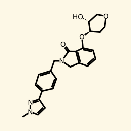 Cn1ccc(-c2ccc(CN3Cc4cccc(O[C@@H]5CCOC[C@H]5O)c4C3=O)cc2)n1